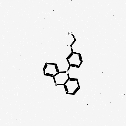 OCCc1cccc([S+]2c3ccccc3Sc3ccccc32)c1